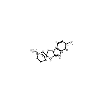 [BH3-][N+]12CCC(CC1)C1(Cn3c(nc4cc(Br)ccc43)O1)C2